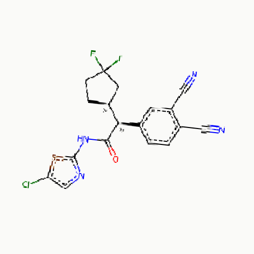 N#Cc1ccc([C@@H](C(=O)Nc2ncc(Cl)s2)[C@H]2CCC(F)(F)C2)cc1C#N